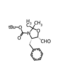 CC(C)(C)OC(=O)N1[C@@H](Cc2ccccc2)[C@@H](C=O)OC1(C)C